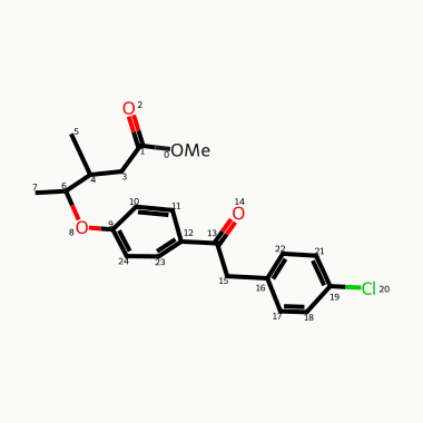 COC(=O)CC(C)C(C)Oc1ccc(C(=O)Cc2ccc(Cl)cc2)cc1